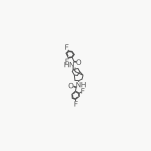 O=C(NC1CC2CC3C[C@@](NC(=O)c4ccc(F)cc4F)(C2)CC3C1)c1ccc(F)cc1F